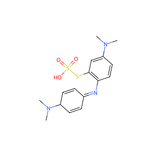 CN(C)c1ccc(N=C2C=CC(N(C)C)C=C2)c(SS(=O)(=O)O)c1